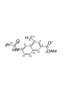 COC(=O)c1cc(C)c2cc(NC(=O)C(C)C)ccc2c1